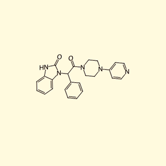 O=C(C(c1ccccc1)n1c(=O)[nH]c2ccccc21)N1CCN(c2ccncc2)CC1